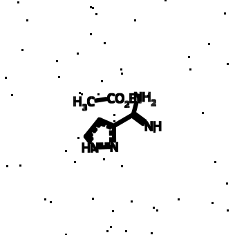 CCOC(C)=O.N=C(N)c1cc[nH]n1